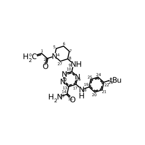 C=CC(=O)N1CCCC(Nc2nnc(C(N)=O)c(Nc3ccc(C(C)(C)C)cc3)n2)C1